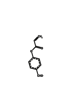 C=CC(=O)Oc1ccc([C]=O)cc1